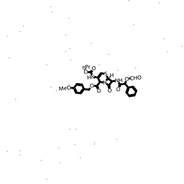 CCCOC(=O)NC1=CS[C@H]2C(NC(=O)C(OC=O)c3ccccc3)C(=O)N2C1C(=O)OCc1ccc(OC)cc1